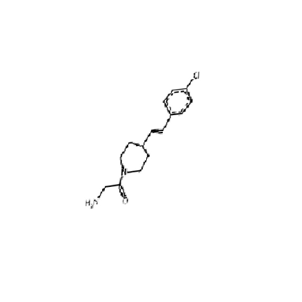 NCC(=O)N1CCC(C=Cc2ccc(Cl)cc2)CC1